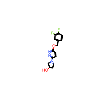 O[C@@H]1CCN(c2ccc(OCc3ccc(F)c(F)c3)nn2)C1